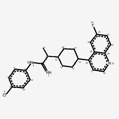 CC(C(=N)Nc1ccc(Cl)cc1)C1CCC(c2ccnc3ccc(F)cc23)CC1